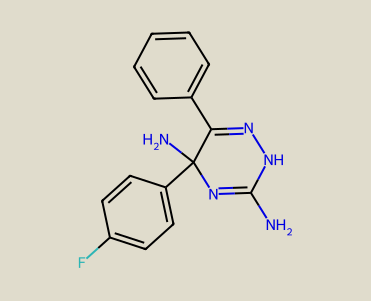 NC1=NC(N)(c2ccc(F)cc2)C(c2ccccc2)=NN1